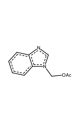 CC(=O)OCn1cnc2ccccc21